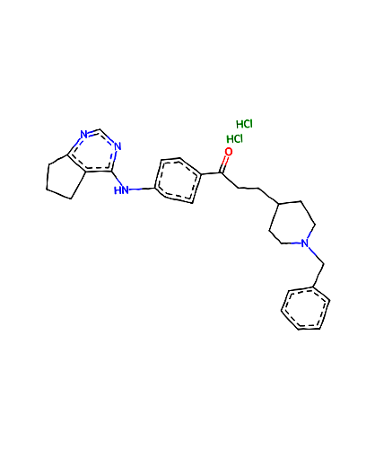 Cl.Cl.O=C(CCC1CCN(Cc2ccccc2)CC1)c1ccc(Nc2ncnc3c2CCC3)cc1